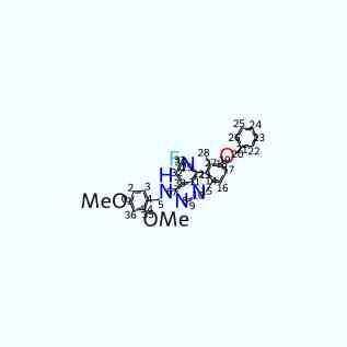 COc1ccc(CNc2ncnc3c(-c4c(C)ccc(OCc5ccccc5)c4C)nc(F)cc23)c(OC)c1